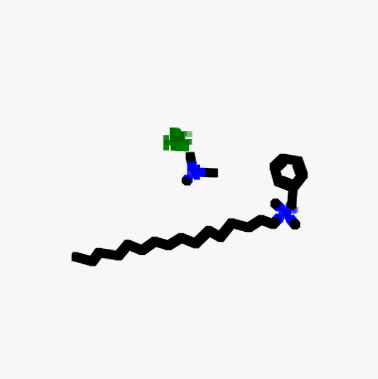 Br.CCCCCCCCCCCCCCCC[N+](C)(C)Cc1ccccc1.CN(C)C.[Br-]